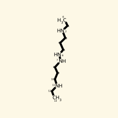 CCNCCCNNCCCNCC